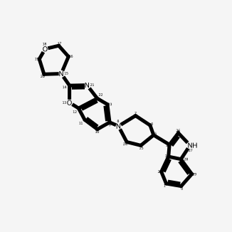 c1ccc2c(C3CCN(c4ccc5oc(N6CCOCC6)nc5c4)CC3)c[nH]c2c1